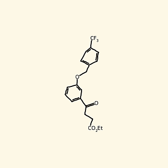 CCOC(=O)CCC(=O)c1cccc(OCc2ccc(C(F)(F)F)cc2)c1